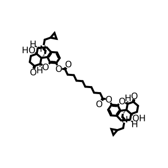 O=C(CCCCCCCCC(=O)Oc1ccc2c3c1O[C@H]1C(=O)CC[C@@]4(O)[C@@H](C2)N(CC2CC2)CC[C@]314)Oc1ccc2c3c1O[C@H]1C(=O)CC[C@@]4(O)[C@@H](C2)N(CC2CC2)CC[C@]314